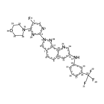 Fc1cnc(-n2cc3ccc4cc(Nc5cccc(C(F)(F)F)c5)cnc4c3n2)nc1N1CCOCC1